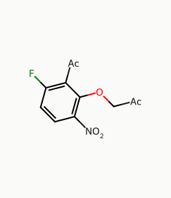 CC(=O)COc1c([N+](=O)[O-])ccc(F)c1C(C)=O